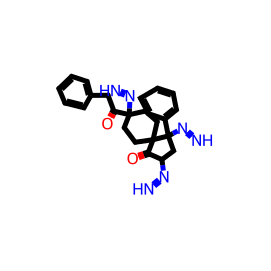 N=NC1CC(N=N)(c2ccccc2)C2(CCC(N=N)(C(=O)Cc3ccccc3)CC2)C1=O